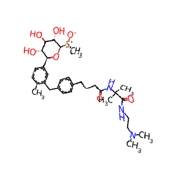 Cc1ccc([C@@H]2O[C@H]([S@+](C)[O-])[C@@H](O)[C@H](O)[C@H]2O)cc1Cc1ccc(CCCC(=O)NC(C)(C)C(=O)NCCN(C)C)cc1